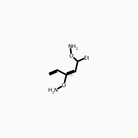 C=C/C(=C\C(CC)ON)ON